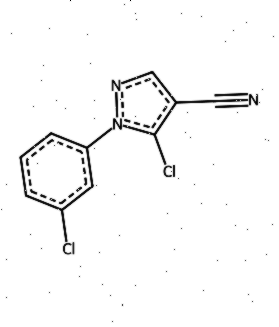 N#Cc1cnn(-c2cccc(Cl)c2)c1Cl